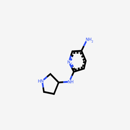 Nc1ccc(NC2CCNC2)nc1